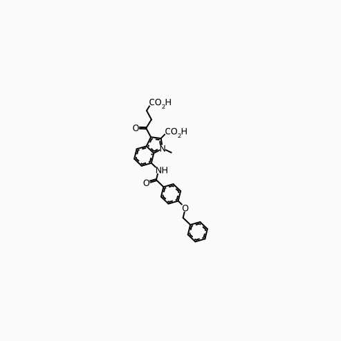 Cn1c(C(=O)O)c(C(=O)CCC(=O)O)c2cccc(NC(=O)c3ccc(OCc4ccccc4)cc3)c21